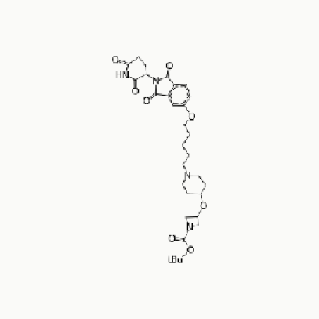 CC(C)(C)OC(=O)N1CC(OC2CCN(CCCCCOc3ccc4c(c3)C(=O)N(C3CCC(=O)NC3=O)C4=O)CC2)C1